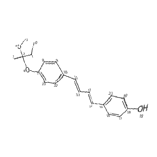 CCC(C)(OC)Oc1ccc(C=CC=Cc2ccc(O)cc2)cc1